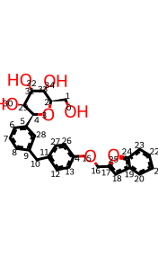 OC[C@H]1O[C@@H](c2cccc(Cc3ccc(OCc4cc5ccccc5o4)cc3)c2)[C@H](O)[C@@H](O)[C@@H]1O